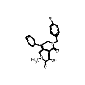 CN1CC2C(=C(O)C1=O)C(=O)N(Cc1ccc(F)cc1)CC2c1ccccc1